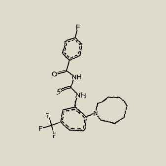 O=C(NC(=S)Nc1cc(C(F)(F)F)ccc1N1CCCCCCC1)c1ccc(F)cc1